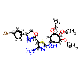 COc1cc(Nc2nc(N)c(C3=N[C@H](c4ccc(Br)cc4)CO3)s2)cc(OC)c1OC